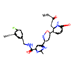 CNC(=O)Cc1[nH]c(=O)ccc1C1CC(c2cc(C(=O)NCc3ccc(F)c(OC)c3)nc(C)n2)=NO1